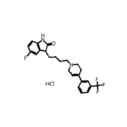 Cl.O=C1Nc2ccc(F)cc2C1CCCCN1CC=C(c2cccc(C(F)(F)F)c2)CC1